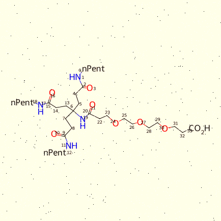 CCCCCNC(=O)CCC(CCC(=O)NCCCCC)(CCC(=O)NCCCCC)NC(=O)CCOCCOCCOCCC(=O)O